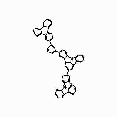 c1cc(-c2ccc3c4ccccc4c4ccccc4c3c2)cc(-c2ccc3c(c2)c2cc(-c4ccc5c(c4)c4cccc6c7ccccc7n5c64)cc4c5ccccc5n3c42)c1